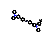 CC(C)(C)c1ccc2c(c1)c1cc(-c3ccc(/C=C/c4ccc(-c5ccc6c(c5)c5ccccc5n6-c5ccccc5)cc4)cc3)ccc1n2-c1ccccc1